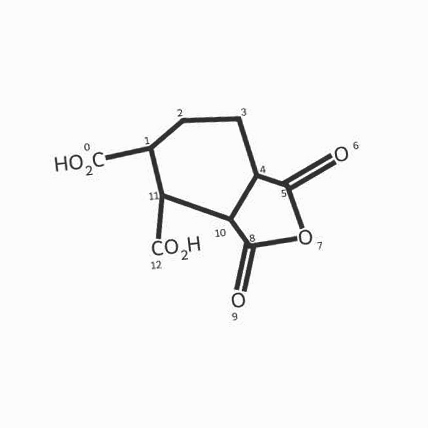 O=C(O)C1CCC2C(=O)OC(=O)C2C1C(=O)O